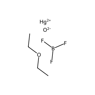 CCOCC.FB(F)F.[Hg+2].[O-2]